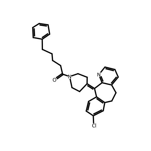 O=C(CCCCc1ccccc1)N1CCC(=C2c3ccc(Cl)cc3CCc3cccnc32)CC1